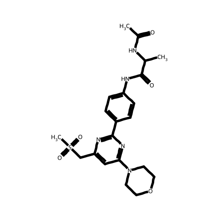 CC(=O)NC(C)C(=O)Nc1ccc(-c2nc(CS(C)(=O)=O)cc(N3CCOCC3)n2)cc1